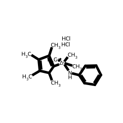 CC1=C(C)C(C)[C]([Zr]([CH3])([CH3])(=[GeH2])[NH]c2ccccc2)=C1C.Cl.Cl